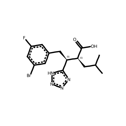 CC(C)C[C@H](C(=O)O)[C@H](Cc1cc(F)cc(Br)c1)c1nnn[nH]1